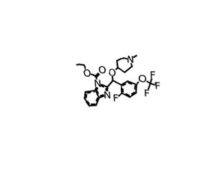 CCOC(=O)n1c(C(OC2CCN(C)CC2)c2cc(OC(F)(F)F)ccc2F)nc2ccccc21